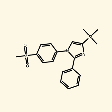 C[Si](C)(C)c1cn(-c2ccc(S(C)(=O)=O)cc2)c(-c2ccccc2)n1